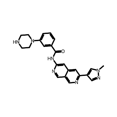 Cn1cc(-c2cc3cc(NC(=O)c4cccc(N5CCNCC5)c4)ncc3cn2)cn1